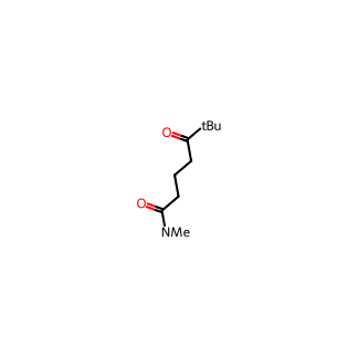 CNC(=O)CCCC(=O)C(C)(C)C